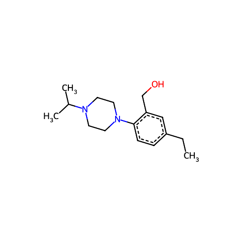 CCc1ccc(N2CCN(C(C)C)CC2)c(CO)c1